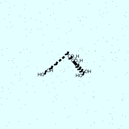 C=C.C=C.C=C.C=C.C=C.C=C(C)C(=O)O.C=C(C)C(=O)O.C=CC.C=CC.C=CC.C=CC.C=CC.OCCO.OCCO